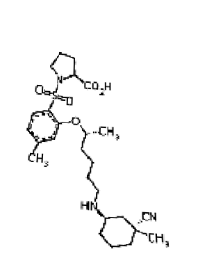 Cc1ccc(S(=O)(=O)N2CCC[C@H]2C(=O)O)c(O[C@H](C)CCCCN[C@@H]2CCC[C@@](C)(C#N)C2)c1